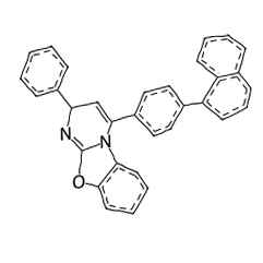 C1=C(c2ccc(-c3cccc4ccccc34)cc2)N2C(=NC1c1ccccc1)Oc1ccccc12